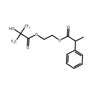 CC(C(=O)OCCOC(=O)C(O)(C(F)(F)F)C(F)(F)F)c1ccccc1